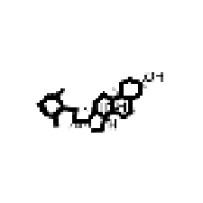 Cc1cccc(C)c1C[C@@H](C)[C@H]1CC[C@H]2[C@@H]3CC=C4C[C@@H](O)CC[C@]4(C)[C@H]3CC[C@]12C